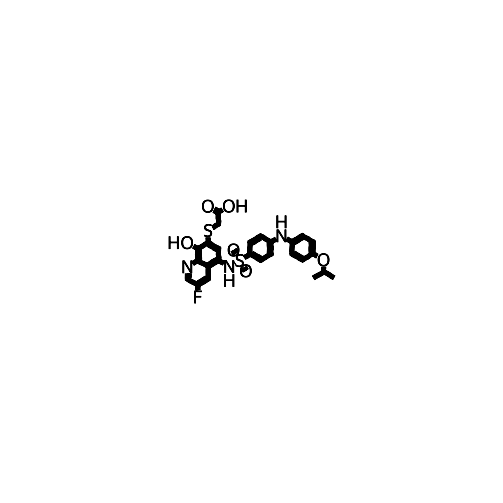 CC(C)Oc1ccc(Nc2ccc(S(=O)(=O)Nc3cc(SCC(=O)O)c(O)c4ncc(F)cc34)cc2)cc1